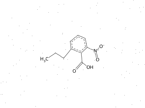 CC[CH]c1cccc([N+](=O)[O-])c1C(=O)O